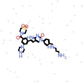 NCCCNCc1ccc(-n2cc3cc(-c4cc(C(=O)N5CCS(=O)(=O)CC5)cc(N5CCNCC5)c4)[nH]c3nc2=O)cc1